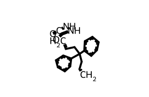 C=CCC(CC=C)(c1ccccc1)c1ccccc1.N=C=O.N=C=O